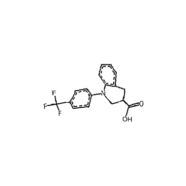 O=C(O)C1Cc2ccccc2N(c2ccc(C(F)(F)F)cc2)C1